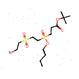 CCCCOP(=O)(CCC(=O)OC(C)(C)C)CCS(=O)(=O)CCBr